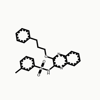 Cc1cccc(S(=O)(=O)Nc2nc3ccccc3nc2OCCCc2ccccc2)c1